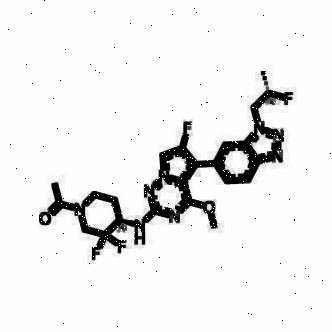 COc1nc(N[C@@H]2CCN(C(C)=O)CC2(F)F)nn2cc(F)c(-c3ccc4nnn(C[C@H](C)F)c4c3)c12